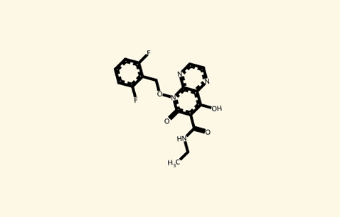 CCNC(=O)c1c(O)c2nccnc2n(OCc2c(F)cccc2F)c1=O